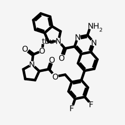 CC(C)(C)OC(=O)N1CCCC1C(=O)OCc1cc(F)c(F)cc1-c1ccc2nc(N)nc(C(=O)N3Cc4ccccc4C3)c2c1